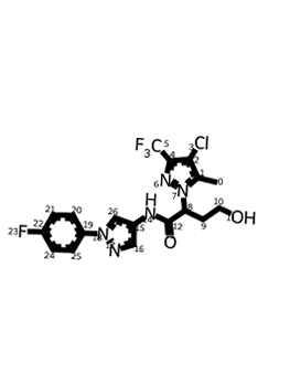 Cc1c(Cl)c(C(F)(F)F)nn1C(CCO)C(=O)Nc1cnn(-c2ccc(F)cc2)c1